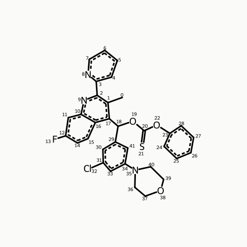 Cc1c(-c2ccccn2)nc2cc(F)ccc2c1C(OC(=S)Oc1ccccc1)c1cc(Cl)cc(N2CCOCC2)c1